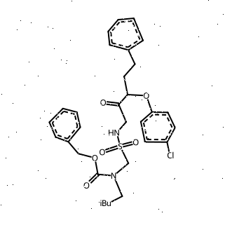 CCC(C)CN(CS(=O)(=O)NCC(=O)C(CCc1ccccc1)Oc1ccc(Cl)cc1)C(=O)OCc1ccccc1